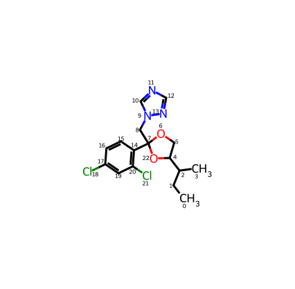 CCC(C)C1COC(Cn2cncn2)(c2ccc(Cl)cc2Cl)O1